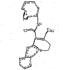 O=C(Nc1ccccn1)C1=C(O)CCn2c1nc1ccccc12